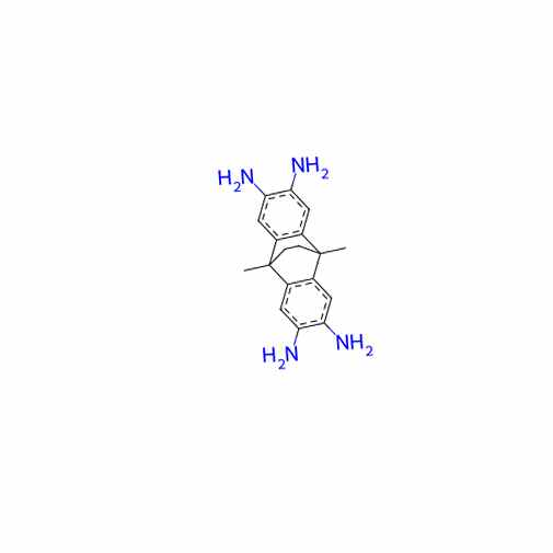 CC12CCC(C)(c3cc(N)c(N)cc31)c1cc(N)c(N)cc12